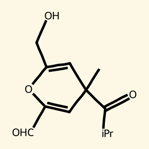 CC(C)C(=O)C1(C)C=C(C=O)OC(CO)=C1